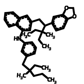 CCCC(C)(CC)Cc1cccc(Nc2cc(CC(c3ccc4c(c3)OCO4)C(C)(CC)CC)cc3ccccc23)c1